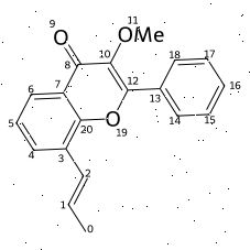 CC=Cc1cccc2c(=O)c(OC)c(-c3ccccc3)oc12